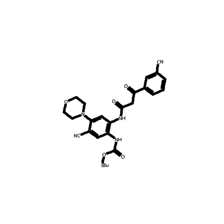 CC(C)(C)OC(=O)Nc1cc(C#N)c(N2CCOCC2)cc1NC(=O)CC(=O)c1cccc(C#N)c1